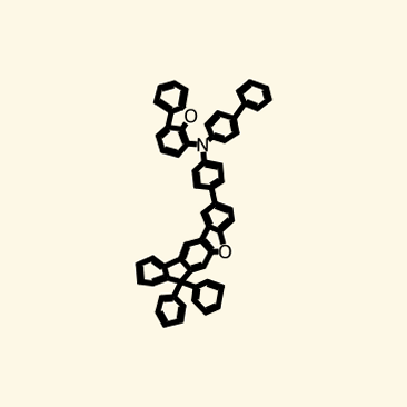 c1ccc(-c2ccc(N(c3ccc(-c4ccc5oc6cc7c(cc6c5c4)-c4ccccc4C7(c4ccccc4)c4ccccc4)cc3)c3cccc4c3oc3ccccc34)cc2)cc1